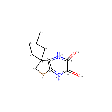 CCCC1(CC)CSc2[nH]c(=O)c(=O)[nH]c21